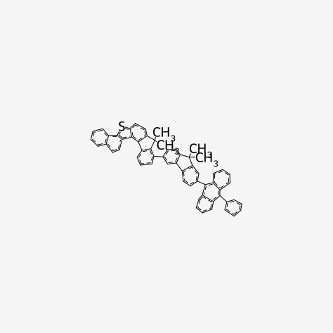 CC1(C)c2ccc(-c3cccc4c3C(C)(C)c3ccc5sc6c7ccccc7ccc6c5c3-4)cc2-c2ccc(-c3c4ccccc4c(-c4ccccc4)c4ccccc34)cc21